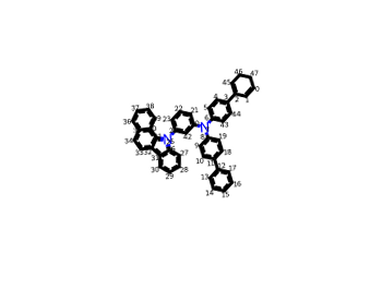 C1=CC(c2ccc(N(c3ccc(-c4ccccc4)cc3)c3cccc(-n4c5ccccc5c5ccc6ccccc6c54)c3)cc2)=CCC1